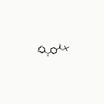 CC(C)(C)OC(=O)c1ccc(Nc2cncnc2)cc1